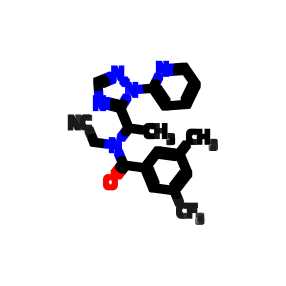 Cc1cc(C(=O)N(CC#N)C(C)c2ncnn2-c2ccccn2)cc(C(F)(F)F)c1